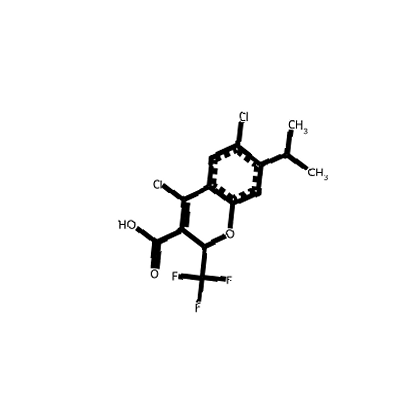 CC(C)c1cc2c(cc1Cl)C(Cl)=C(C(=O)O)C(C(F)(F)F)O2